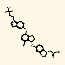 CC(C)(O)CCn1ccc2cc(Oc3ccc(F)c4c3CC[C@H]4Oc3ccc4c(c3)OC[C@H]4CC(=O)O)ccc21